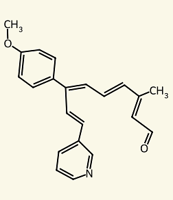 COc1ccc(C(C=Cc2cccnc2)=CC=CC(C)=CC=O)cc1